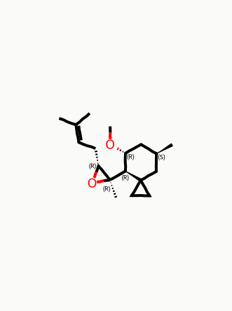 CO[C@@H]1C[C@@H](C)CC2(CC2)[C@H]1[C@@]1(C)O[C@@H]1CC=C(C)C